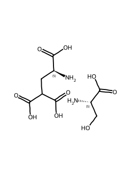 N[C@@H](CC(C(=O)O)C(=O)O)C(=O)O.N[C@@H](CO)C(=O)O